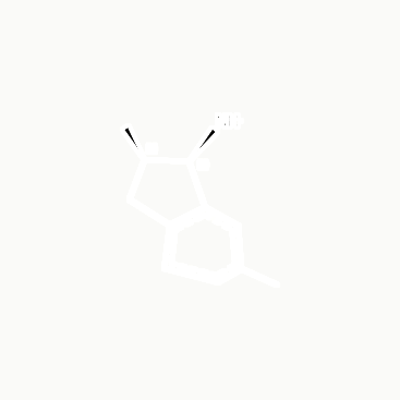 Cc1ccc2c(c1)[C@H]([NH])[C@H](C)C2